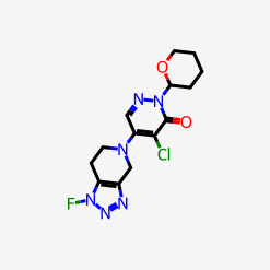 O=c1c(Cl)c(N2CCc3c(nnn3F)C2)cnn1C1CCCCO1